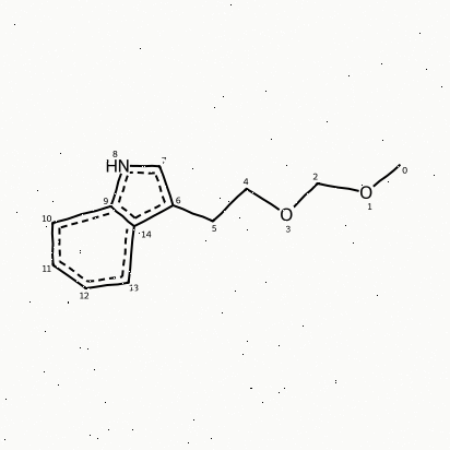 COCOCCc1c[nH]c2ccccc12